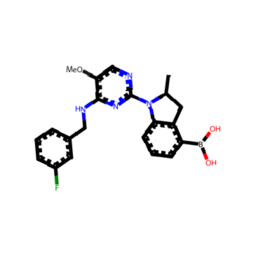 COc1cnc(N2c3cccc(B(O)O)c3CC2C)nc1NCc1cccc(F)c1